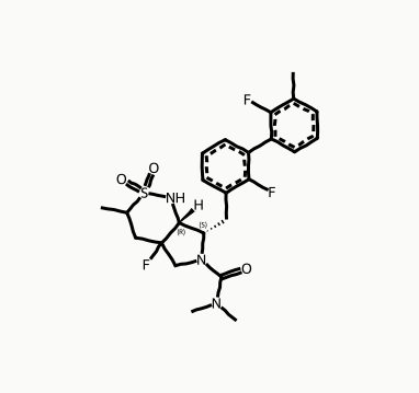 Cc1cccc(-c2cccc(C[C@H]3[C@H]4NS(=O)(=O)C(C)CC4(F)CN3C(=O)N(C)C)c2F)c1F